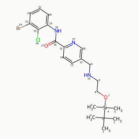 CC(C)(C)[Si](C)(C)OCCNCc1ccc(C(=O)Nc2cccc(Br)c2Cl)nc1